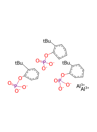 CC(C)(C)c1ccccc1OP(=O)([O-])[O-].CC(C)(C)c1ccccc1OP(=O)([O-])[O-].CC(C)(C)c1ccccc1OP(=O)([O-])[O-].[Al+3].[Al+3]